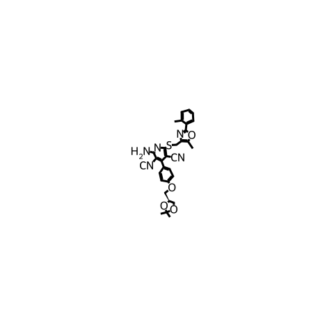 [C-]#[N+]c1c(N)nc(SCc2nc(-c3ccccc3C)oc2C)c(C#N)c1-c1ccc(OC[C@H]2COC(C)(C)O2)cc1